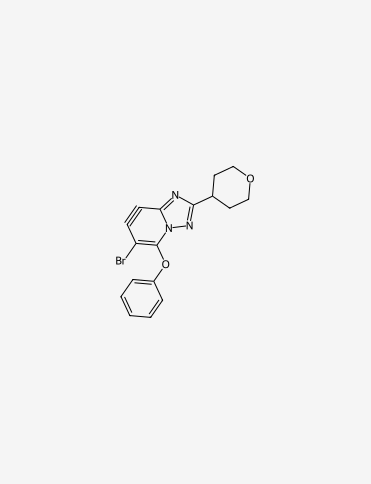 Brc1c#cc2nc(C3CCOCC3)nn2c1Oc1ccccc1